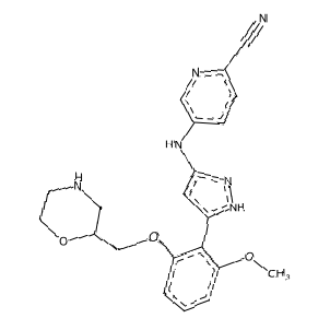 COc1cccc(OCC2CNCCO2)c1-c1cc(Nc2ccc(C#N)nc2)n[nH]1